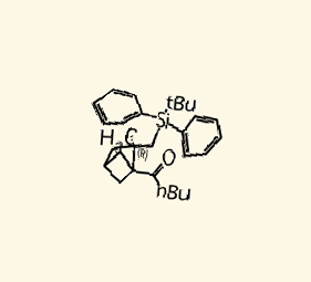 CCCCC(=O)C12CC(C1)C[C@@]2(C)C[Si](c1ccccc1)(c1ccccc1)C(C)(C)C